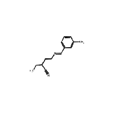 CCC(C#N)CCN=Cc1cccc(C)c1